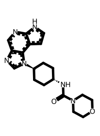 O=C(N[C@H]1CC[C@H](n2cnc3cnc4[nH]ccc4c32)CC1)N1CCOCC1